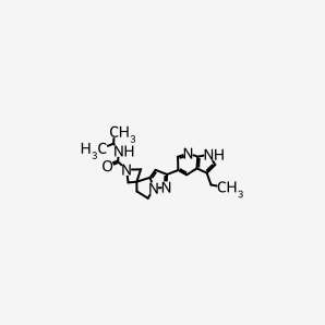 CCc1c[nH]c2ncc(-c3cc4n(n3)CCC43CN(C(=O)NC(C)C)C3)cc12